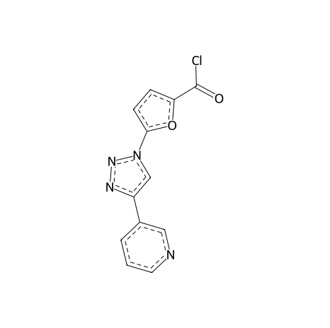 O=C(Cl)c1ccc(-n2cc(-c3cccnc3)nn2)o1